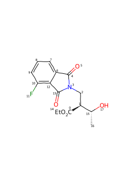 CCOC(=O)[C@@H](CN1C(=O)c2cccc(F)c2C1=O)[C@@H](C)O